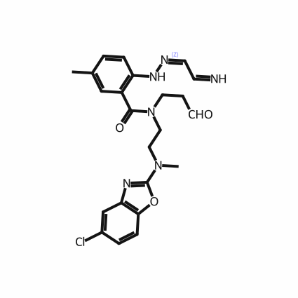 Cc1ccc(N/N=C\C=N)c(C(=O)N(CCC=O)CCN(C)c2nc3cc(Cl)ccc3o2)c1